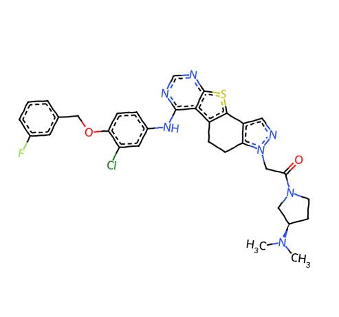 CN(C)[C@@H]1CCN(C(=O)Cn2ncc3c2CCc2c-3sc3ncnc(Nc4ccc(OCc5cccc(F)c5)c(Cl)c4)c23)C1